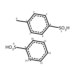 Cc1ccc(S(=O)(=O)O)cc1.O=S(=O)(O)c1ccccn1